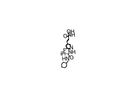 CC(C)[C@@H](Nc1ncc(/C=C/C(=O)NO)cc1F)C(=O)NCC1CCCCC1